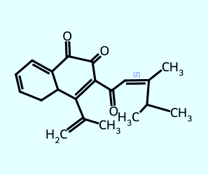 C=C(C)C1=C(C(=O)/C=C(/C)C(C)C)C(=O)C(=O)C2=CC=CCC21